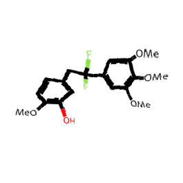 COc1ccc(CC(F)(F)c2cc(OC)c(OC)c(OC)c2)cc1O